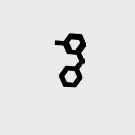 Cc1cccc(OC2CCCCC2)c1